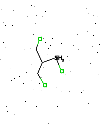 ClCC(CCl)[SiH2]Cl